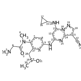 CN(C(=O)CN)c1ccc(Nc2cc(NC3CC3)n3ncc(C#N)c3n2)cc1C[S+](C)[O-]